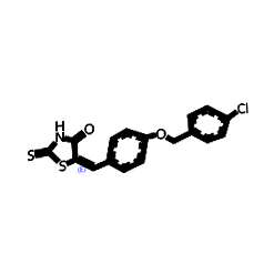 O=C1NC(=S)S/C1=C/c1ccc(OCc2ccc(Cl)cc2)cc1